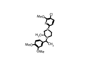 COc1ccc(C(C)N2CCN(c3ccc(Cl)c(OC)n3)C[C@@H]2C)cc1OC